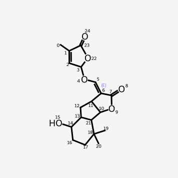 CC1=CC(O/C=C2/C(=O)OC3C2CC2C(O)CCC(C)(C)C23)OC1=O